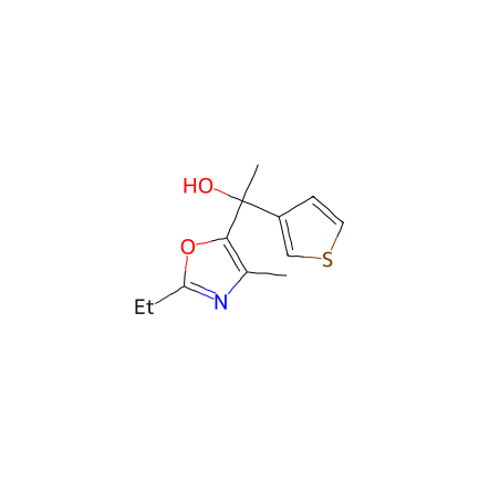 CCc1nc(C)c(C(C)(O)c2ccsc2)o1